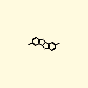 Cc1ccc2c(c1)C1Sc3ccc(C)cc3C1S2